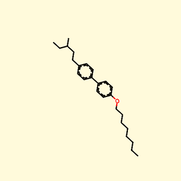 CCCCCCCCOc1ccc(-c2ccc(CCC(C)CC)cc2)cc1